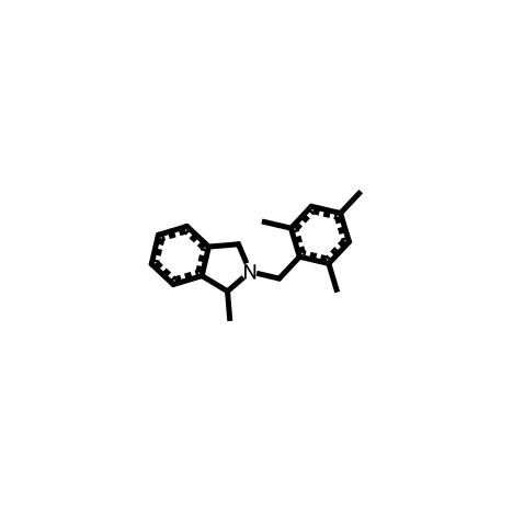 Cc1cc(C)c(CN2Cc3ccccc3C2C)c(C)c1